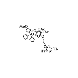 COc1ccc(C(OC[C@H]2O[C@@H](OCCCCOP(OCCC#N)N(C(C)C)C(C)C)[C@H](OC(C)=O)[C@@H](OC(C)=O)[C@H]2OC(C)=O)(c2ccccc2)c2ccccc2)cc1